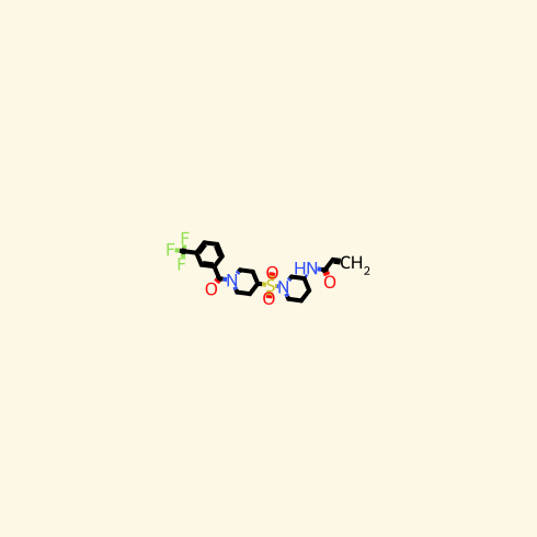 C=CC(=O)N[C@H]1CCCN(S(=O)(=O)C2CCN(C(=O)c3cccc(C(F)(F)F)c3)CC2)C1